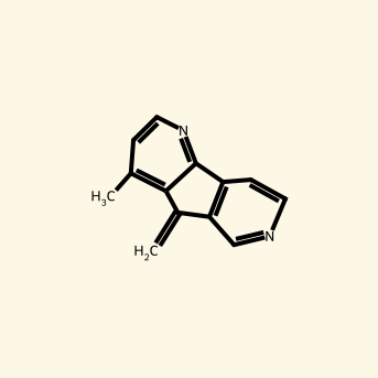 C=C1c2cnccc2-c2nccc(C)c21